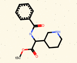 CC(C)(C)OC(=O)C([N]C(=O)c1ccccc1)C1CCCNC1